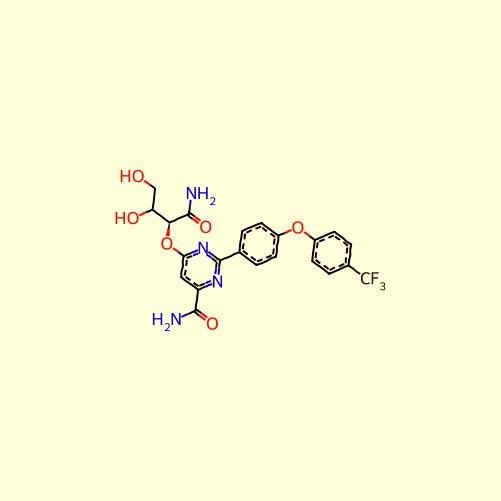 NC(=O)c1cc(O[C@H](C(N)=O)C(O)CO)nc(-c2ccc(Oc3ccc(C(F)(F)F)cc3)cc2)n1